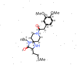 CCCCN1C(=O)C(CCSC)NC12CCN(C(=O)Cc1ccc(OC)c(OC)c1)CC2